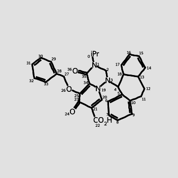 CC(C)N1CN(C2c3ccccc3CCC3C=CC=CC32)n2cc(C(=O)O)c(=O)c(OCc3ccccc3)c2C1=O